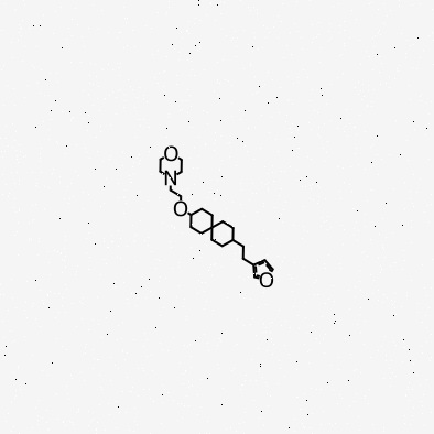 c1cc(CCC2CCC3(CC2)CCC(OCCN2CCOCC2)CC3)co1